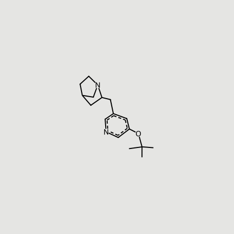 CC(C)(C)Oc1cncc(CC2CC3CCN2C3)c1